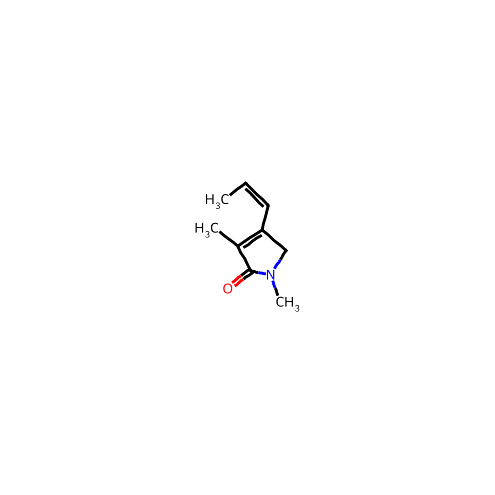 C/C=C\C1=C(C)C(=O)N(C)C1